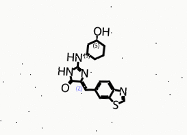 O=C1NC(N[C@H]2CCC[C@H](O)C2)=N/C1=C\c1ccc2ncsc2c1